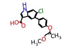 COC[C@H](C)Oc1ccc(-c2cc3c(C(=O)O)c[nH]c3cc2Cl)cc1